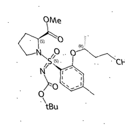 COC(=O)[C@@H]1CCCN1[S@](=O)(=NC(=O)OC(C)(C)C)c1ccc(C)cc1O[C@H](C)CCC=O